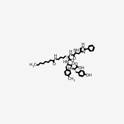 CCCCCCCC(=O)NCCCC[C@H](NC(=O)[C@@H](N)Cc1c[nH]c(-c2ccccc2)n1)C(=O)N[C@H](Cc1ccc(C)cc1)C(=O)N[C@@H](Cc1ccc(O)cc1)C(=O)O